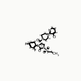 CCCS(=O)(=O)N1C[C@@H](C(=O)N2CCN(c3ncccc3Cl)CC2)N(c2ccc(F)cc2F)C1=O